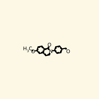 COc1ccc2c(=O)n(-c3ccc(C=O)cc3)ccc2c1